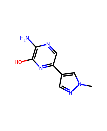 Cn1cc(-c2cnc(N)c(O)n2)cn1